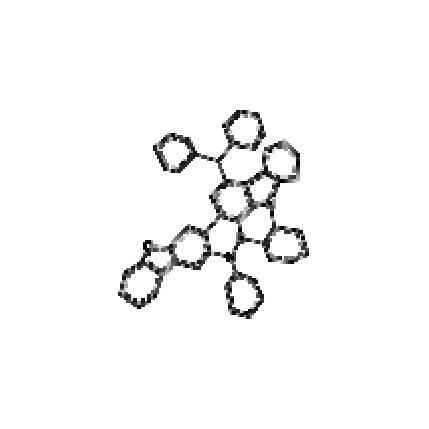 c1ccc(C(c2ccccc2)c2cc3c4c5c2c2ccccc2n5-c2ccccc2B4N(c2ccccc2)c2cc4c(cc2-3)oc2ccccc24)cc1